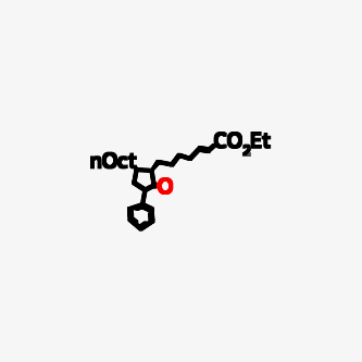 CCCCCCCC[C@H]1CC(c2ccccc2)C(=O)[C@@H]1CCCCC=CC(=O)OCC